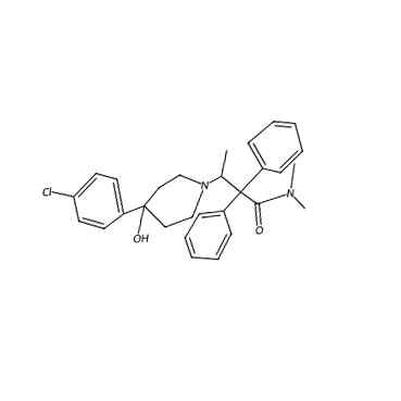 CC(N1CCC(O)(c2ccc(Cl)cc2)CC1)C(C(=O)N(C)C)(c1ccccc1)c1ccccc1